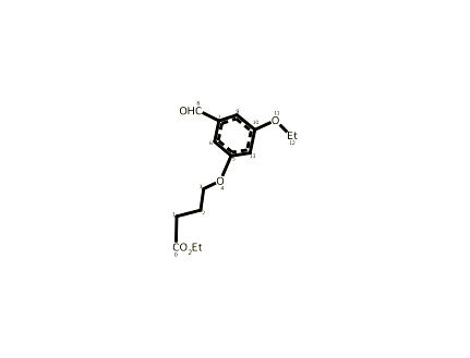 CCOC(=O)CCCOc1cc(C=O)cc(OCC)c1